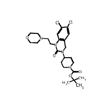 CC(C)(C)OC(=O)N1CCC(N2Cc3cc(Cl)c(Cl)cc3N(CCN3CCOCC3)C2=O)CC1